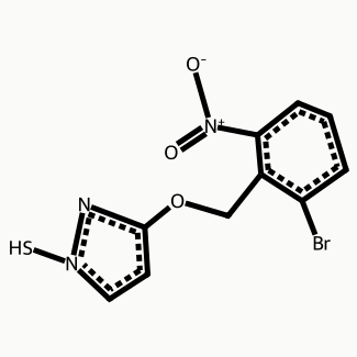 O=[N+]([O-])c1cccc(Br)c1COc1ccn(S)n1